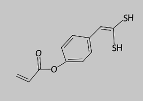 C=CC(=O)Oc1ccc(C=C(S)S)cc1